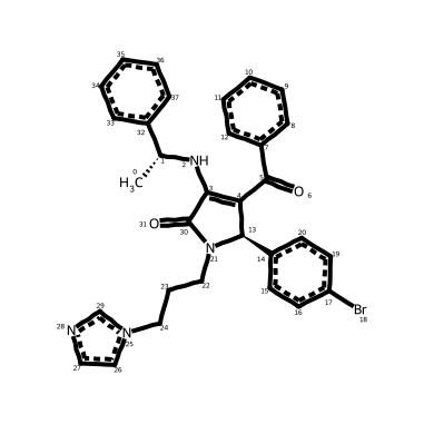 C[C@@H](NC1=C(C(=O)c2ccccc2)[C@@H](c2ccc(Br)cc2)N(CCCn2ccnc2)C1=O)c1ccccc1